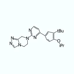 CC(C)Oc1ccc(-c2ccnc(N3CCn4cnnc4C3)n2)cc1C(C)(C)C